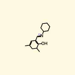 CC1=CC(/C=N/C2CCCCC2)=C(O)C(C)C1